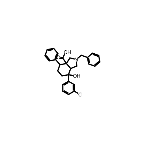 O=C(O)C12CN(Cc3ccccc3)CC1C(O)(c1cccc(Cl)c1)CCC2c1ccccc1